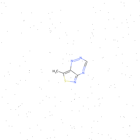 Cc1snc2ncnnc12